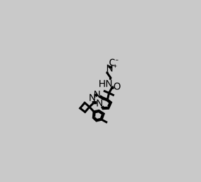 [C-]#[N+]CCNC(=O)C(C)(C)c1cccn2c(C3(c4ccc(C)cc4)CCC3)nnc12